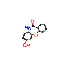 O=C1Nc2ccc(O)cc2Oc2ccccc21